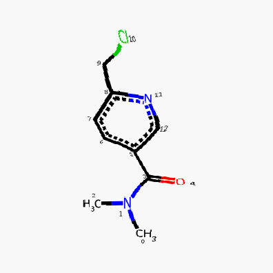 CN(C)C(=O)c1ccc(CCl)nc1